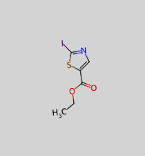 CCOC(=O)c1cnc(I)s1